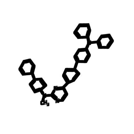 CN(c1ccc(-c2ccccc2)cc1)c1nccc(-c2ccc(-c3ccc(N(c4ccccc4)c4ccccc4)cc3)cc2)n1